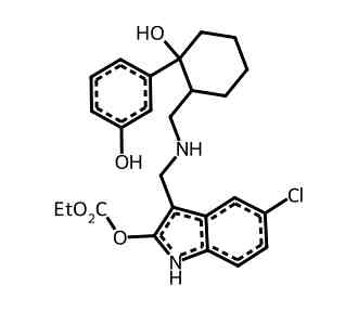 CCOC(=O)Oc1[nH]c2ccc(Cl)cc2c1CNCC1CCCCC1(O)c1cccc(O)c1